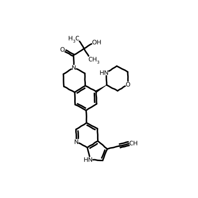 C#Cc1c[nH]c2ncc(-c3cc4c(c([C@@H]5COCCN5)c3)CN(C(=O)C(C)(C)O)CC4)cc12